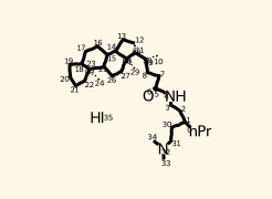 CCCC(CCNC(=O)CC[C@@H](C)[C@H]1CCC2C3CCC4CCCC[C@]4(C)C3CC[C@@]21C)CCN(C)C.I